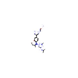 CC1=C(NCC(NC(C)C)NC(C)N)c2ccc(/C(C=N)=C/NCCON)cc2OCC1